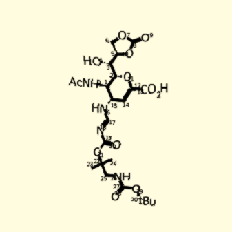 CC(=O)N[C@H]1[C@H]([C@H](O)[C@H]2COC(=O)O2)OC(C(=O)O)=C[C@@H]1NC=NC(=O)OC(C)(C)CNC(=O)OC(C)(C)C